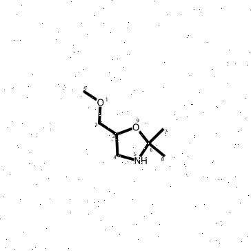 COCC1CNC(C)(C)O1